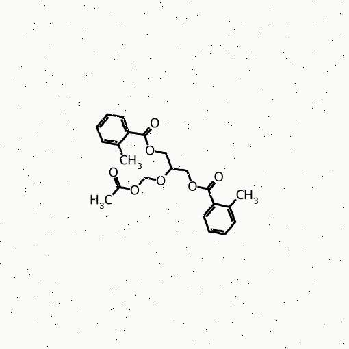 CC(=O)OCOC(COC(=O)c1ccccc1C)COC(=O)c1ccccc1C